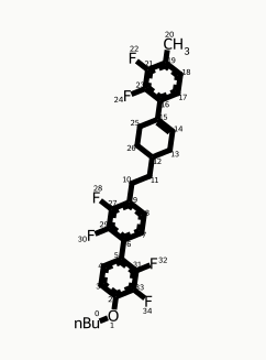 CCCCOc1ccc(-c2ccc(CCC3CC=C(c4ccc(C)c(F)c4F)CC3)c(F)c2F)c(F)c1F